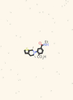 CCNC(=O)c1ccc(C(=O)O)c(N2[C@H](C)Cc3ccsc3[C@@H]2C)c1